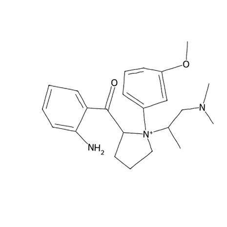 COc1cccc([N+]2(C(C)CN(C)C)CCCC2C(=O)c2ccccc2N)c1